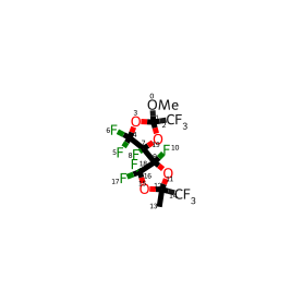 COC1(C(F)(F)F)OC(F)(F)C(F)(C2(F)OC(C)(C(F)(F)F)OC2(F)F)O1